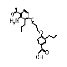 CCCc1cc(C(=O)CO)ccc1OCCCOc1ccc(C(C)=O)c(N)c1CCC